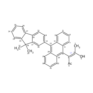 CC(=O)/C(=C(/C)O)c1c2ccccc2c(-c2ccc3c(c2)C(C)(C)c2ccccc2-3)c2ccccc12